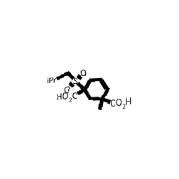 CC(C)CS(=O)(=O)C1(C(=O)O)CC=CC(C)(C(=O)O)C1